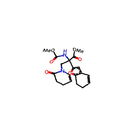 COC(=O)NC(CN1C=CCCC1=O)(C(=O)OC)c1cc2c(o1)CCC=C2